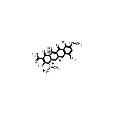 CNc1cc(C)c2c(c1O)C(=O)C1=C(O)[C@]3(O)C(=O)C(C(N)=O)=C(O)[C@@H](N(C)C)[C@@H]3C[C@@H]1C2